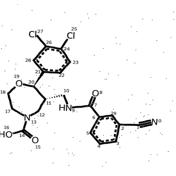 N#Cc1cccc(C(=O)NC[C@@H]2CN(C(=O)O)CCO[C@H]2c2ccc(Cl)c(Cl)c2)c1